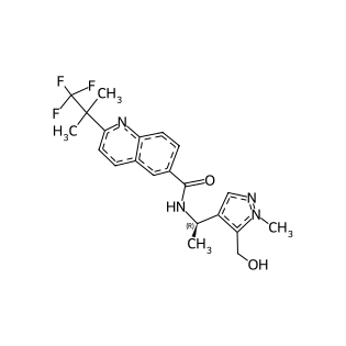 C[C@@H](NC(=O)c1ccc2nc(C(C)(C)C(F)(F)F)ccc2c1)c1cnn(C)c1CO